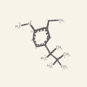 CCc1cc(C(C)(C)C(C)(C)C)ccc1OC